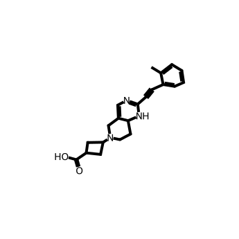 Cc1ccccc1C#CC1=NC=C2CN(C3CC(C(=O)O)C3)CCC2N1